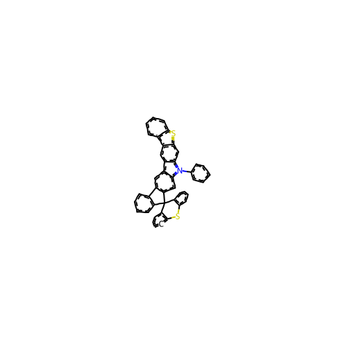 c1ccc(-n2c3cc4c(cc3c3cc5c(cc32)sc2ccccc25)-c2ccccc2C42c3ccccc3Sc3ccccc32)cc1